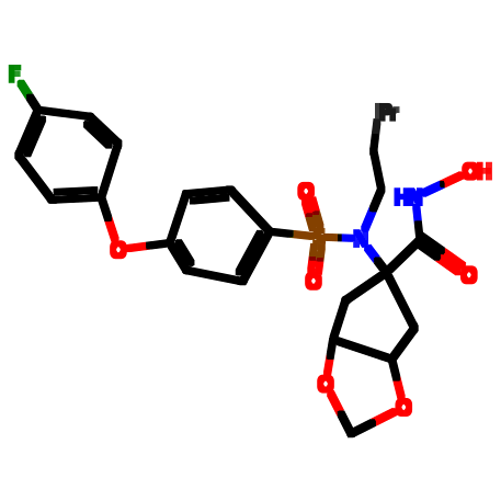 CC(C)CCN(C1(C(=O)NO)CC2OCOC2C1)S(=O)(=O)c1ccc(Oc2ccc(F)cc2)cc1